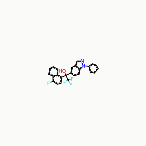 OC(c1ccc2c(cnn2-c2ccccc2)c1)(c1ccc(F)c2ccccc12)C(F)(F)F